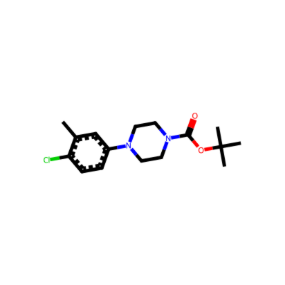 Cc1cc(N2CCN(C(=O)OC(C)(C)C)CC2)ccc1Cl